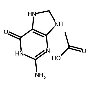 CC(=O)O.Nc1nc2c(c(=O)[nH]1)NCN2